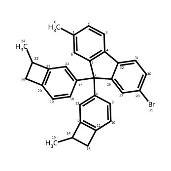 Cc1ccc2c(c1)C(c1ccc3c(c1)C(C)C3)(c1ccc3c(c1)C(C)C3)c1cc(Br)ccc1-2